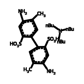 CCCCN(CCCC)CCCC.Cc1cc(-c2cc(C)c(N)cc2S(=O)(=O)O)c(S(=O)(=O)O)cc1N